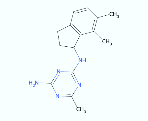 Cc1nc(N)nc(NC2CCc3ccc(C)c(C)c32)n1